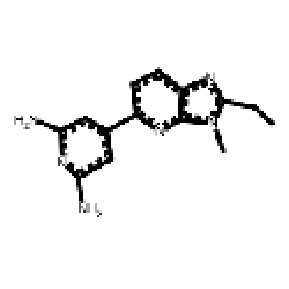 CCc1nc2ccc(-c3cc(N)nc(N)c3)nc2n1C